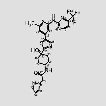 Cc1cc(Nc2nccc(C(F)(F)F)n2)cc(-c2cnc([C@]3(O)CC[C@H](NC(=O)Cn4ccnn4)CC3)s2)c1